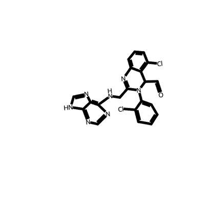 O=CC1c2c(Cl)cccc2N=C(CNc2ncnc3[nH]cnc23)N1c1ccccc1Cl